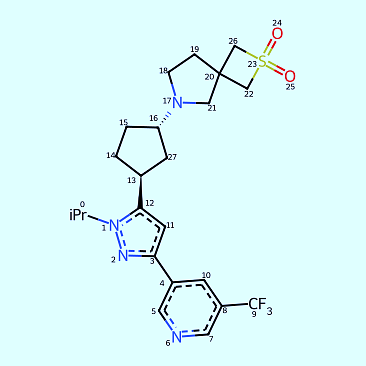 CC(C)n1nc(-c2cncc(C(F)(F)F)c2)cc1[C@H]1CC[C@H](N2CCC3(C2)CS(=O)(=O)C3)C1